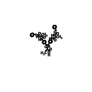 CCC(C(=O)O)c1nc(-c2ccc(NC(=O)[C@H](C)NC(=O)OCc3ccccc3)cc2)c(-c2ccc(NC(=O)[C@H](C)NC(=O)OCc3ccccc3)cc2)o1